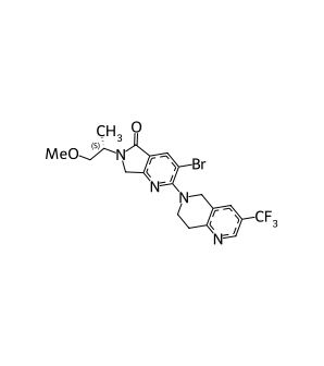 COC[C@H](C)N1Cc2nc(N3CCc4ncc(C(F)(F)F)cc4C3)c(Br)cc2C1=O